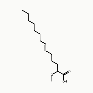 CCCCCCCC=CCCCC(OC)C(=O)O